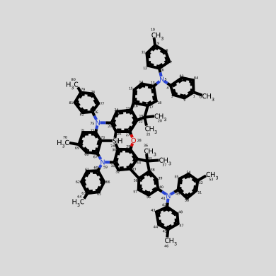 Cc1ccc(N(c2ccc(C)cc2)c2ccc3c(c2)C(C)(C)c2c-3cc3c4c2Oc2c5c(cc6c2C(C)(C)c2cc(N(c7ccc(C)cc7)c7ccc(C)cc7)ccc2-6)N(c2ccc(C)cc2)c2cc(C)cc(c2[SiH]45)N3c2ccc(C)cc2)cc1